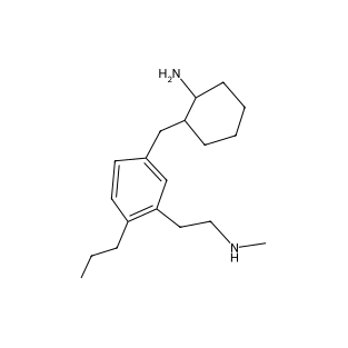 CCCc1ccc(CC2CCCCC2N)cc1CCNC